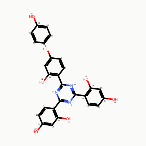 Oc1ccc(-c2nc(-c3ccc(O)cc3O)nc(-c3ccc(O)cc3O)n2)c(O)c1.Oc1ccccc1